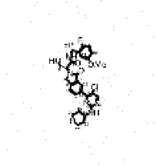 CC[C@@H](NC(=O)[C@@H](CO)N1Cc2ccc(-c3nc(NC4CCOCC4)ncc3Cl)cc2C1=O)c1cc(OC)ccc1F